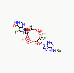 CC(C)(C)Nc1ncnc2c1ncn2[C@@H]1O[C@@H]2COP(=O)(S)O[C@@H]3[C@H](O)[C@@H](COP(=O)(S)O[C@H]2[C@H]1F)O[C@H]3n1cc(F)c2c(=O)[nH]cnc21